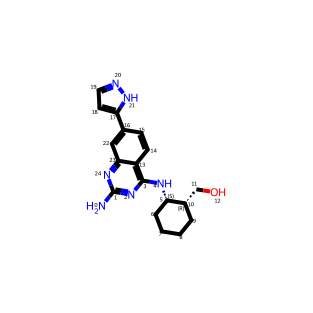 Nc1nc(N[C@H]2CCCC[C@H]2CO)c2ccc(-c3ccn[nH]3)cc2n1